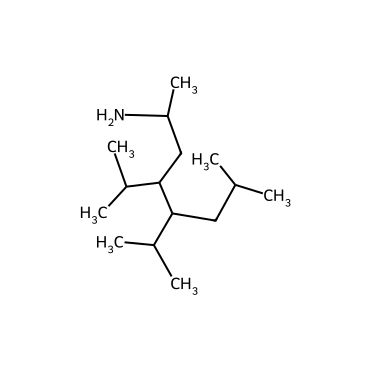 CC(C)CC(C(C)C)C(CC(C)N)C(C)C